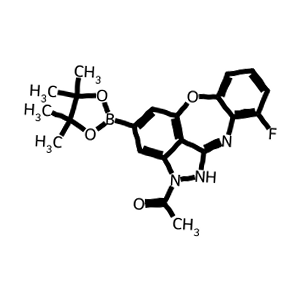 CC(=O)N1NC2=Nc3c(F)cccc3Oc3cc(B4OC(C)(C)C(C)(C)O4)cc1c32